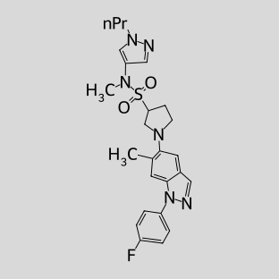 CCCn1cc(N(C)S(=O)(=O)C2CCN(c3cc4cnn(-c5ccc(F)cc5)c4cc3C)C2)cn1